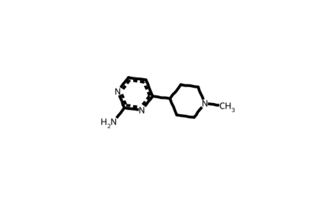 CN1CCC(c2ccnc(N)n2)CC1